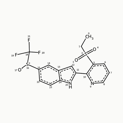 CCS(=O)(=O)c1cccnc1-c1cc2cc([S+]([O-])C(F)(F)F)ccc2[nH]1